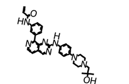 C=CC(=O)Nc1cccc(-c2nccc3cnc(Nc4ccc(N5CCN(CC(C)(C)O)CC5)cc4)nc23)c1